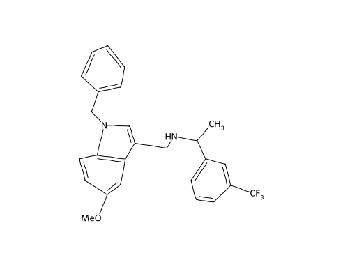 COc1ccc2c(c1)c(CNC(C)c1cccc(C(F)(F)F)c1)cn2Cc1ccccc1